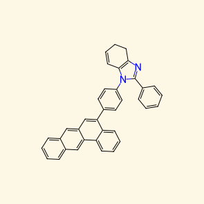 C1=Cc2c(nc(-c3ccccc3)n2-c2ccc(-c3cc4cc5ccccc5cc4c4ccccc34)cc2)CC1